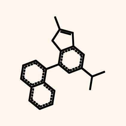 CC1=Cc2cc(C(C)C)cc(-c3cccc4ccccc34)c2C1